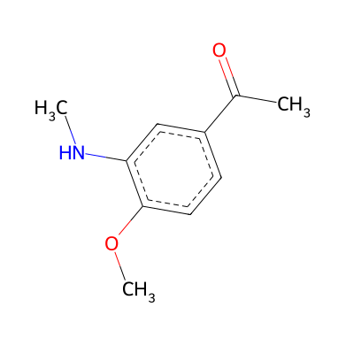 CNc1cc(C(C)=O)ccc1OC